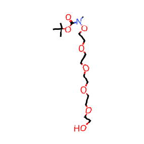 CN(OCCOCCOCCOCCOCCO)C(=O)OC(C)(C)C